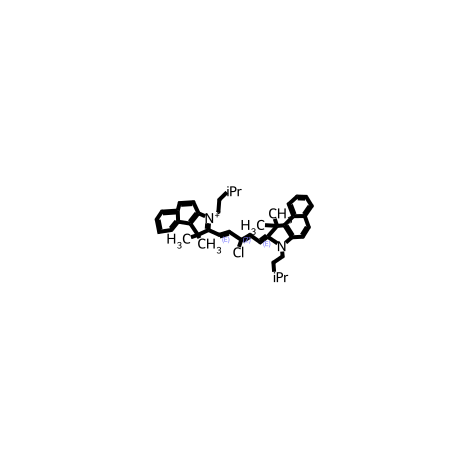 CC(C)CCN1/C(=C/C=C(Cl)/C=C/C2=[N+](CCC(C)C)c3ccc4ccccc4c3C2(C)C)C(C)(C)c2c1ccc1ccccc21